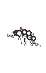 CCCOC1C2(NC(=O)c3c(N=[N+]=[N-])ccc(c3O)C2=O)C(=O)C=C2CC[C@H]3[C@@H]4CC[C@H](C(C)=O)[C@@]4(C)CC[C@@H]3[C@]21C